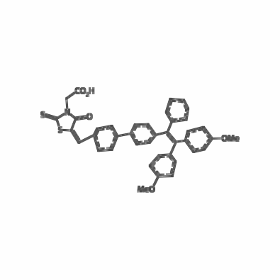 COc1ccc(C(=C(c2ccccc2)c2ccc(-c3ccc(/C=C4/SC(=S)N(CC(=O)O)C4=O)cc3)cc2)c2ccc(OC)cc2)cc1